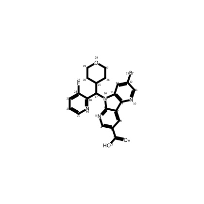 O=C(O)c1cnc2c(c1)c1ncc(Br)cc1n2C(c1ncccc1F)C1CCOCC1